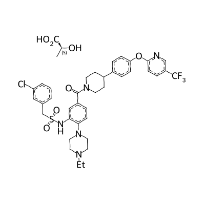 CCN1CCN(c2ccc(C(=O)N3CCC(c4ccc(Oc5ccc(C(F)(F)F)cn5)cc4)CC3)cc2NS(=O)(=O)Cc2cccc(Cl)c2)CC1.C[C@H](O)C(=O)O